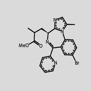 COC(=O)C(C)C[C@@H]1N=C(c2ccccn2)c2cc(Br)ccc2-n2c(C)cnc21